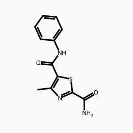 Cc1nc(C(N)=O)sc1C(=O)Nc1ccccc1